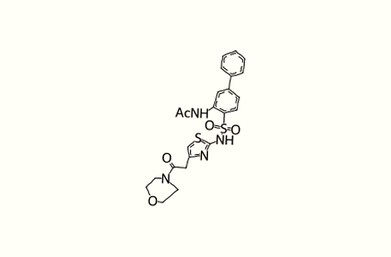 CC(=O)Nc1cc(-c2ccccc2)ccc1S(=O)(=O)Nc1nc(CC(=O)N2CCOCC2)cs1